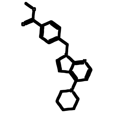 COC(=O)c1ccc(Cn2ccc3c(N4CCCCC4)ccnc32)cc1